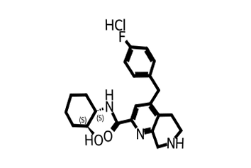 Cl.O=C(N[C@H]1CCCC[C@@H]1O)c1cc(Cc2ccc(F)cc2)c2c(n1)CNCC2